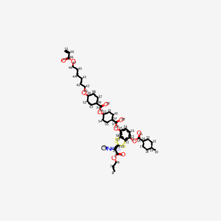 [C-]#[N+]/C(C(=O)OCCC)=C1/Sc2c(OC(=O)C3CCC(C)CC3)ccc(OC(=O)C3CCC(OC(=O)C4CCC(OCCCCCCOC(=O)C=C)CC4)CC3)c2S1